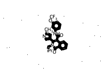 CC(C)CN1C(=O)c2ccccc2C(C(=O)Nc2cccc(OC(F)(F)F)c2)C1c1cnn(C)c1